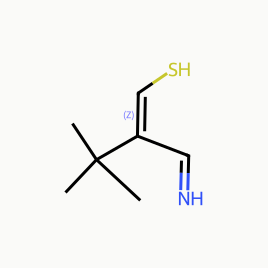 CC(C)(C)/C(C=N)=C/S